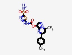 NS(=O)(=O)c1nnc(NC(=O)Oc2cnn3c(C(F)(F)F)cc(-c4ccc(C(F)(F)F)cc4)nc23)s1